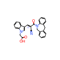 N#C/C(=C\c1cn(CC(=O)O)c2ccccc12)C(=O)N1Cc2ccccc2Cc2ccccc21